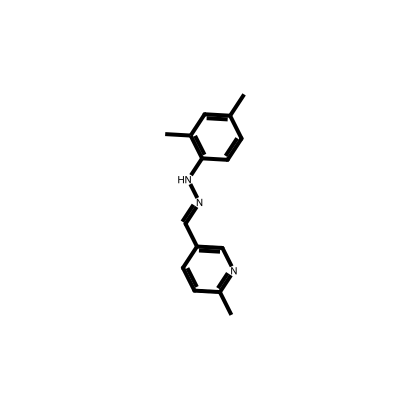 Cc1ccc(N/N=C/c2ccc(C)nc2)c(C)c1